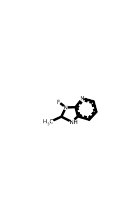 CC1Nc2cccnc2N1F